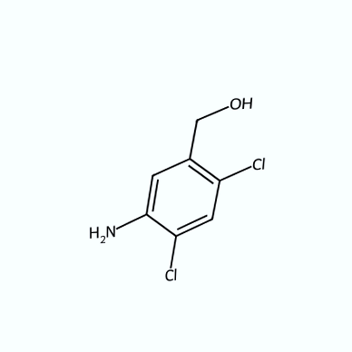 Nc1cc(CO)c(Cl)cc1Cl